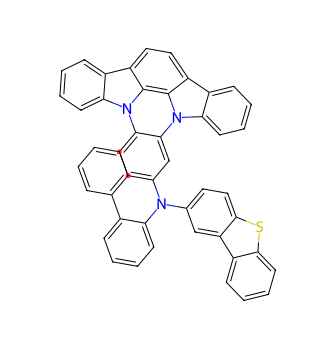 c1ccc(-c2ccccc2N(c2ccc3sc4ccccc4c3c2)c2ccc3c(c2)n2c4ccccc4c4ccc5c6ccccc6n3c5c42)cc1